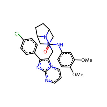 COc1ccc(NC(=O)N2C3CCC2CN(Cc2c(-c4ccc(Cl)cc4)nc4ncccn24)C3)cc1OC